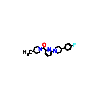 CC1CCN(C(=O)c2cccc(N3CCC(c4ccc(F)cc4)CC3)n2)CC1